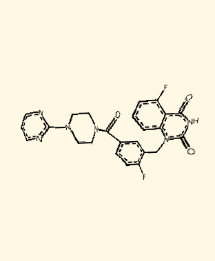 O=C(c1ccc(F)c(Cn2c(=O)[nH]c(=O)c3c(F)cccc32)c1)N1CCN(c2ncccn2)CC1